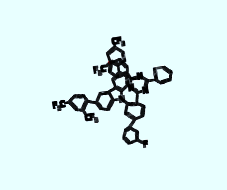 Fc1cccc(-c2ccc(-c3nc(-c4ccccc4)nc(-c4ccccc4)n3)c(-n3c4ccc(-c5ccc(C(F)(F)F)cc5C(F)(F)F)cc4c4cc(-c5ccc(C(F)(F)F)cc5C(F)(F)F)ccc43)c2)c1